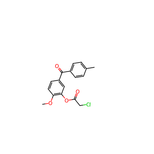 COc1ccc(C(=O)c2ccc(C)cc2)cc1OC(=O)CCl